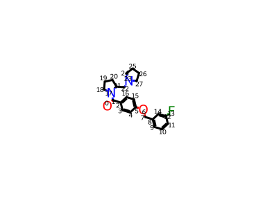 O=C(c1ccc(OCc2cccc(F)c2)cc1)N1CCCC1CN1CCCC1